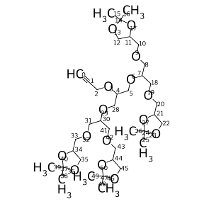 C#CCOC(COC(COCC1COC(C)(C)O1)COCC1COC(C)(C)O1)COC(COCC1COC(C)(C)O1)COCC1COC(C)(C)O1